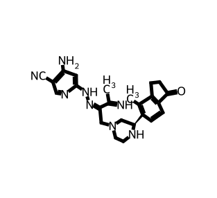 CC(=N)/C(CN1CCN[C@H](c2ccc3c(c2C)CCC3=O)C1)=N\Nc1cc(N)c(C#N)cn1